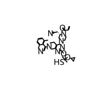 C=CC(=O)N1CCN(c2nc(OCC(C)(S)OC3CC3)nc3c2CCN(c2cncc4cccc(C)c24)C3)C[C@@H]1CC#N